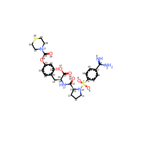 N=C(N)c1ccc(S(=O)(=O)N2CCC[C@H]2C(=O)N[C@@H](Cc2ccc(OC(=O)N3CCSCC3)cc2)C(=O)O)cc1